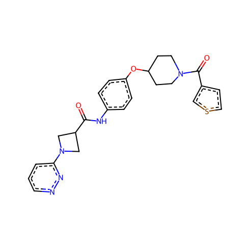 O=C(Nc1ccc(OC2CCN(C(=O)c3ccsc3)CC2)cc1)C1CN(c2cccnn2)C1